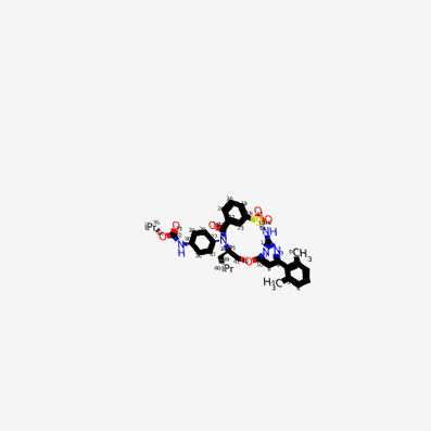 Cc1cccc(C)c1-c1cc2nc(n1)NS(=O)(=O)c1cccc(c1)C(=O)N([C@H]1CC[C@H](NC(=O)OC(C)C)CC1)[C@H](CC(C)C)CO2